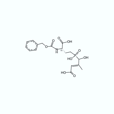 CC(=CC(=O)O)C(O)P(=O)(O)CC[C@H](NC(=O)OCc1ccccc1)C(=O)O